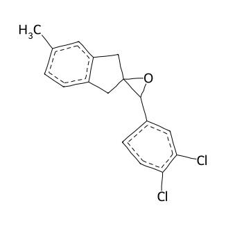 Cc1ccc2c(c1)CC1(C2)OC1c1ccc(Cl)c(Cl)c1